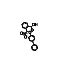 O=C(O)c1ccccc1C(Oc1ccc(-c2ccccc2)cc1)[N+](=O)[O-]